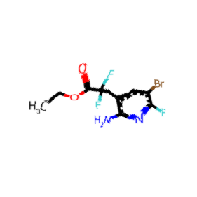 CCOC(=O)C(F)(F)c1cc(Br)c(F)nc1N